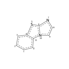 [c]1cccc2sc3nccn3c12